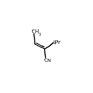 CC=C(C#N)C(C)C